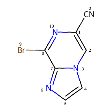 N#Cc1cn2ccnc2c(Br)n1